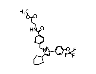 COC(=O)CCNC(=O)c1ccc(Cn2nc(-c3ccc(OC(F)(F)F)cc3)cc2C2CCCCC2)cc1